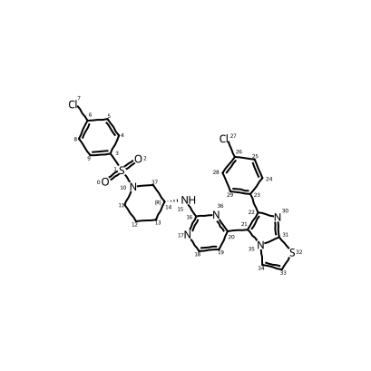 O=S(=O)(c1ccc(Cl)cc1)N1CCC[C@@H](Nc2nccc(-c3c(-c4ccc(Cl)cc4)nc4sccn34)n2)C1